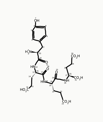 N[C@@H](Cc1ccc(O)cc1)C(=O)N[C@@H](CCC(=O)O)C(=O)N[C@@H](CCC(=O)O)C(=O)N[C@@H](CCC(=O)O)C(=O)O